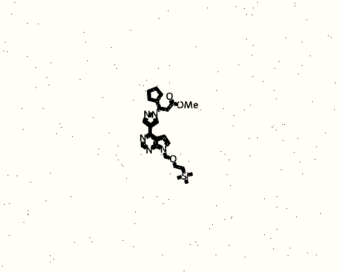 COC(=O)CC(C1CCCC1)n1cc(-c2ncnc3c2ccn3COCC[Si](C)(C)C)cn1